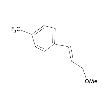 [CH2]OCC=Cc1ccc(C(F)(F)F)cc1